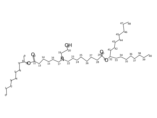 CCCCCCCCC(C)OC(=O)CCCCCN(CCO)CCCCCCCC(=O)OC(CCCCCCCC)CCCCCCCC